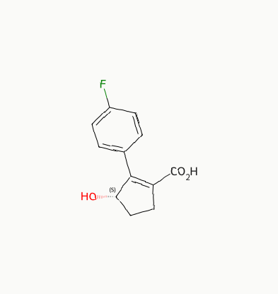 O=C(O)C1=C(c2ccc(F)cc2)[C@@H](O)CC1